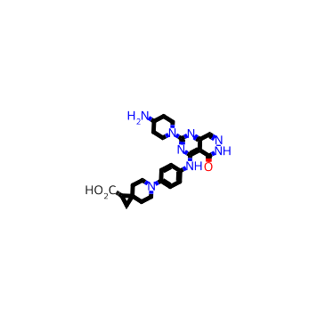 NC1CCN(c2nc(Nc3ccc(N4CCC5(CC4)CC5C(=O)O)cc3)c3c(=O)[nH]ncc3n2)CC1